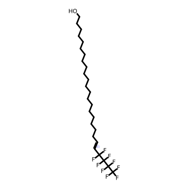 OCCCCCCCCCCCCCCCCCCCC/C=C/C(F)(F)C(F)(F)C(F)(F)C(F)(F)F